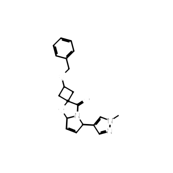 Cn1cc(C2C=CC3OC4(CC(OCc5ccccc5)C4)C(=O)N32)cn1